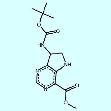 COC(=O)c1ncnc2c1NCC2NC(=O)OC(C)(C)C